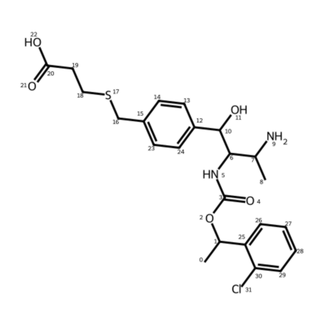 CC(OC(=O)NC(C(C)N)C(O)c1ccc(CSCCC(=O)O)cc1)c1ccccc1Cl